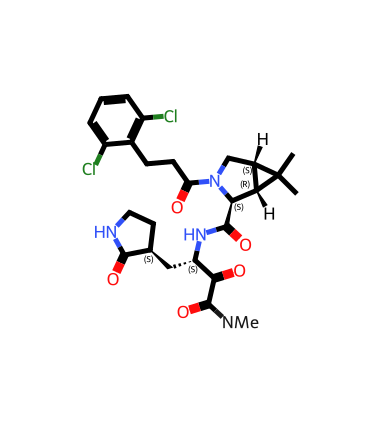 CNC(=O)C(=O)[C@H](C[C@@H]1CCNC1=O)NC(=O)[C@@H]1[C@@H]2[C@H](CN1C(=O)CCc1c(Cl)cccc1Cl)C2(C)C